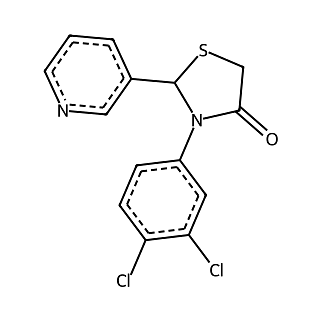 O=C1CSC(c2cccnc2)N1c1ccc(Cl)c(Cl)c1